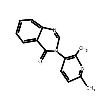 Cc1ccc(-n2cnc3ccccc3c2=O)c(C)n1